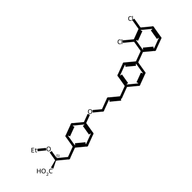 CCO[C@@H](Cc1ccc(OCC=Cc2ccc(-c3cccc(Cl)c3Cl)cc2)cc1)C(=O)O